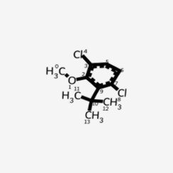 COc1c(Cl)ccc(Cl)c1C(C)(C)C